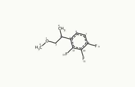 COCC(C)c1ccc(F)c(F)c1F